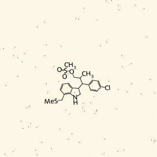 CSCc1cccc2c1NCC2C(c1ccc(Cl)cc1)C(C)COS(C)(=O)=O